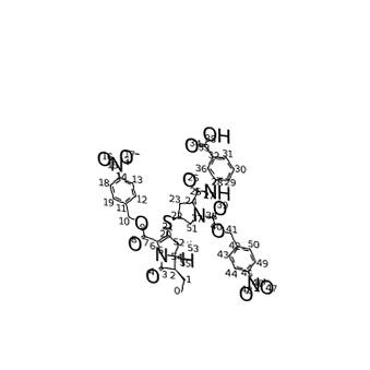 CC[C@H]1C(=O)N2C(C(=O)OCc3ccc([N+](=O)[O-])cc3)=C(S[C@H]3C[C@@H](C(=O)Nc4cccc(C(=O)O)c4)N(C(=O)OCc4ccc([N+](=O)[O-])cc4)C3)[C@H](C)[C@H]12